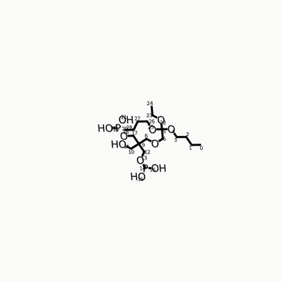 CCCCOC(COCC(CO)(COP(O)O)COP(O)O)(OCC)OCCCC